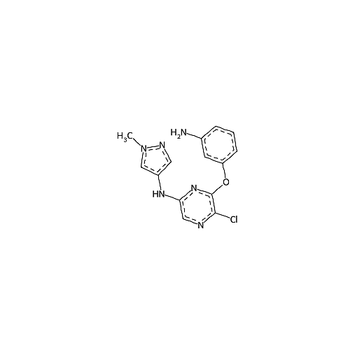 Cn1cc(Nc2cnc(Cl)c(Oc3cccc(N)c3)n2)cn1